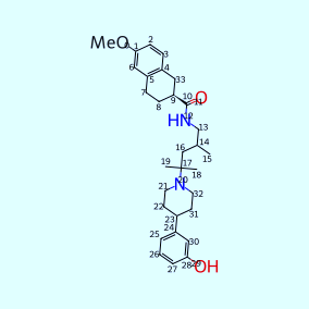 COc1ccc2c(c1)CC[C@H](C(=O)NCC(C)CC(C)(C)N1CCC(c3cccc(O)c3)CC1)C2